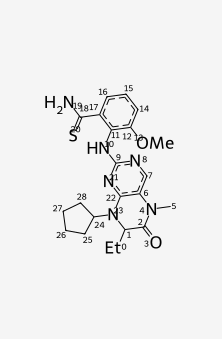 CCC1C(=O)N(C)c2cnc(Nc3c(OC)cccc3C(N)=S)nc2N1C1CCCC1